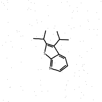 CC(C)c1sc2ncccc2c1C(C)C